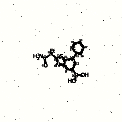 CCN(C(N)=O)c1nc2cc(B(O)O)cc(-c3ccccn3)c2s1